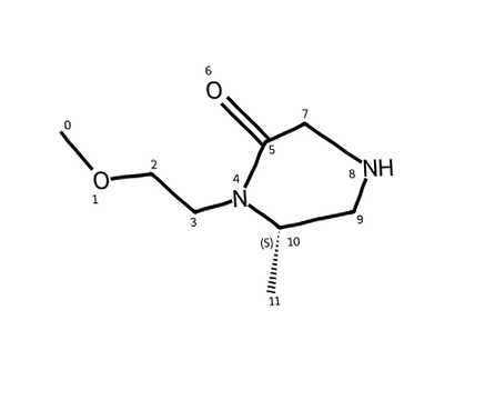 COCCN1C(=O)CNC[C@@H]1C